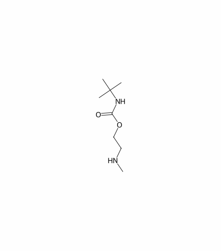 CNCCOC(=O)NC(C)(C)C